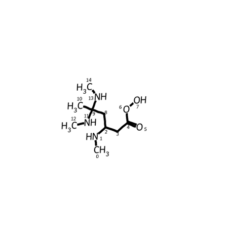 CNC(CC(=O)OO)CC(C)(NC)NC